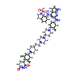 CS(=O)(=O)N1CCc2cccc(Nc3nc(Nc4ccc(N5CCC(N6CCN(CCC7CCN(c8cc(F)c(C9CCC(=O)NC9=O)c(F)c8)CC7)CC6)CC5)c(F)c4)nc4[nH]ccc34)c21